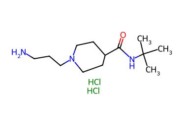 CC(C)(C)NC(=O)C1CCN(CCCN)CC1.Cl.Cl